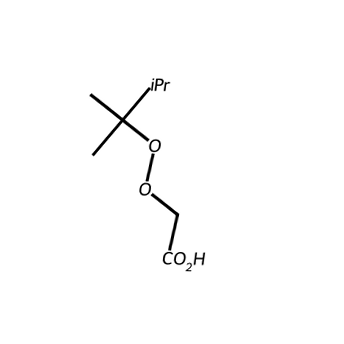 CC(C)C(C)(C)OOCC(=O)O